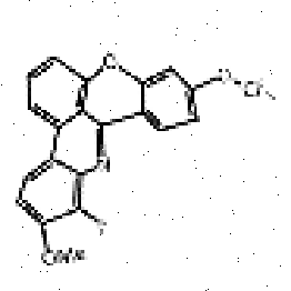 COc1ccc2c(nc3c4c(cccc42)Oc2cc(OC(F)(F)F)ccc2-3)c1F